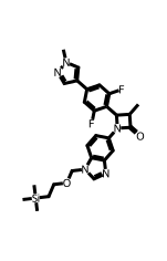 CC1C(=O)N(c2ccc3c(c2)ncn3COCC[Si](C)(C)C)C1c1c(F)cc(-c2cnn(C)c2)cc1F